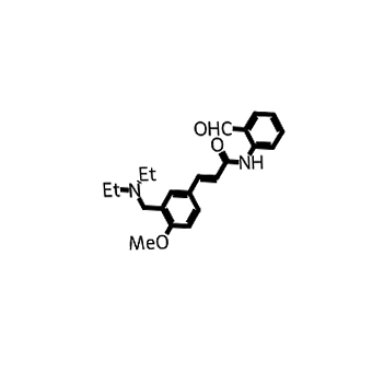 CCN(CC)Cc1cc(/C=C/C(=O)Nc2ccccc2C=O)ccc1OC